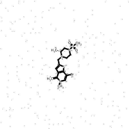 C=C1c2cc(CN3CCN(S(C)(=O)=O)C[C@H]3C)sc2C(Br)=CN1C